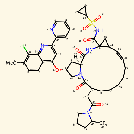 COc1ccc2c(O[C@@H]3C[C@H]4C(=O)NC5(C(=O)NS(=O)(=O)C6CC6)CC5/C=C\CCCCC[C@H](CC(=O)N5CCCC5C(F)(F)F)C(=O)N4C3)cc(-c3ccccn3)nc2c1Cl